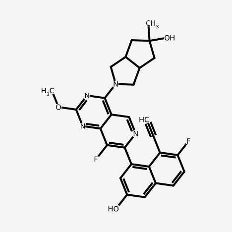 C#Cc1c(F)ccc2cc(O)cc(-c3ncc4c(N5CC6CC(C)(O)CC6C5)nc(OC)nc4c3F)c12